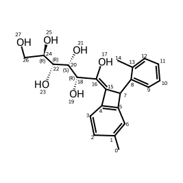 Cc1ccc2c(c1)C(c1ccccc1C)C2=C(O)[C@H](O)[C@@H](O)[C@H](O)[C@H](O)CO